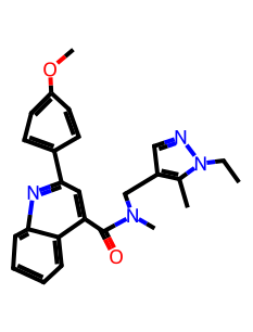 CCn1ncc(CN(C)C(=O)c2cc(-c3ccc(OC)cc3)nc3ccccc23)c1C